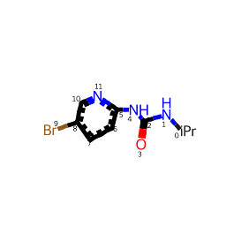 CC(C)NC(=O)Nc1ccc(Br)cn1